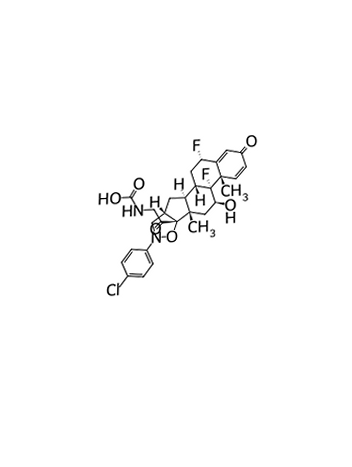 C[C@]12C=CC(=O)C=C1[C@@H](F)C[C@H]1[C@@H]3C[C@H]4CN(c5ccc(Cl)cc5)O[C@@]4(C(=O)CNC(=O)O)[C@@]3(C)C[C@H](O)[C@@]12F